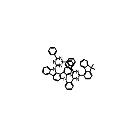 CC1(C)c2ccccc2-c2c(-c3nc(-c4ccccc4)nc(-c4ccccc4-n4c5ccccc5c5c4ccc4c6ccccc6n(-c6nc(-c7ccccc7)nc(-c7ccccc7)n6)c45)n3)cccc21